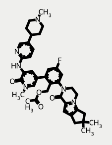 CC(=O)OCc1c(-c2cc(Nc3ccc(C4CCN(C)CC4)cn3)c(=O)n(C)c2)cc(F)cc1N1CCn2c(cc3c2CC(C)(C)C3)C1=O